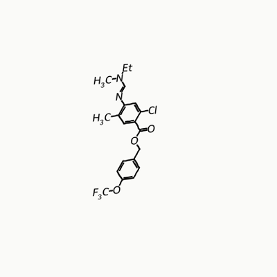 CCN(C)/C=N/c1cc(Cl)c(C(=O)OCc2ccc(OC(F)(F)F)cc2)cc1C